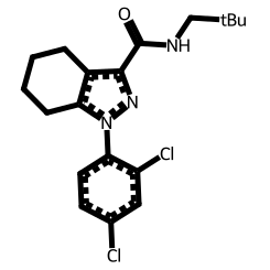 CC(C)(C)CNC(=O)c1nn(-c2ccc(Cl)cc2Cl)c2c1CCCC2